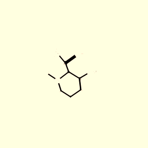 COC1[CH]CCN(C)C1C(N)=O